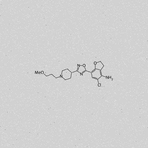 COCCCN1CCC(c2noc(-c3cc(Cl)c(N)c4c3OCC4)n2)CC1